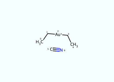 C[CH2][Au+][CH2]C.[C-]#N